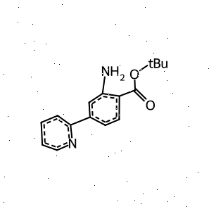 CC(C)(C)OC(=O)c1ccc(-c2ccccn2)cc1N